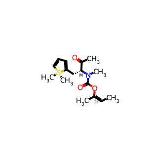 C/C=C(/C)OC(=O)N(C)[C@H](CC1=CC=CS1(C)C)C(C)=O